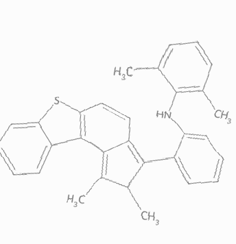 CC1=c2c(ccc3sc4ccccc4c23)=C(c2ccccc2Nc2c(C)cccc2C)C1C